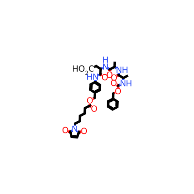 CC(NC(=O)OCc1ccccc1)C(=O)NC(C)C(=O)NC(CC(=O)O)C(=O)Nc1ccc(COC(=O)CCCCCN2C(=O)C=CC2=O)cc1